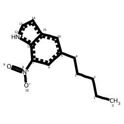 CCCCCc1cc([N+](=O)[O-])c2[nH]ccc2c1